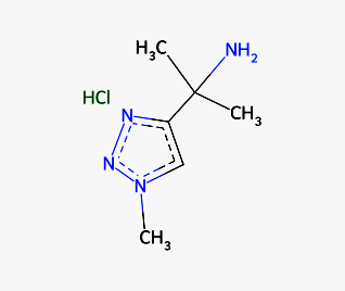 Cl.Cn1cc(C(C)(C)N)nn1